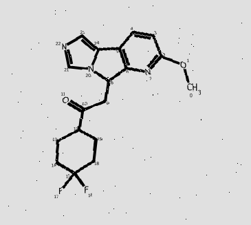 COc1ccc2c(n1)C(CC(=O)C1CCC(F)(F)CC1)n1cncc1-2